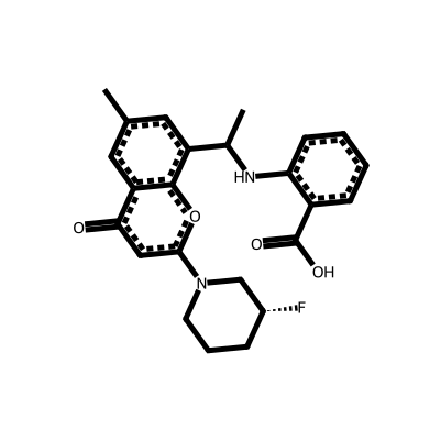 Cc1cc(C(C)Nc2ccccc2C(=O)O)c2oc(N3CCC[C@@H](F)C3)cc(=O)c2c1